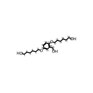 OCCCCCCOc1ccc(OCCCCCCO)c(CO)c1